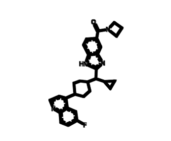 O=C(c1ccc2[nH]c(C(C3CCC(c4ccnc5ccc(F)cc45)CC3)C3CC3)nc2c1)N1CCC1